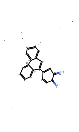 N=C1C=CC(c2cc3ccccc3c3ccccc23)=CC1=N